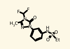 CCS(=O)(=O)Nc1cccc(-n2nc(C)n(C(F)F)c2=O)c1